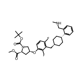 CNCc1ccccc1[C@H]1CC[C@H](Cc2c(F)ccc(O[C@H]3C[C@@H](C(=O)OC)N(C(=O)OC(C)(C)C)C3)c2F)CC1